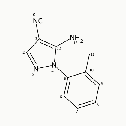 [C-]#[N+]c1cnn(-c2ccccc2C)c1N